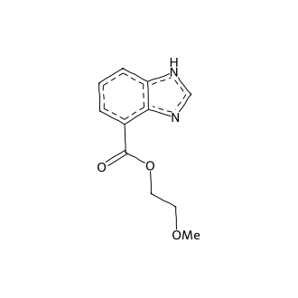 COCCOC(=O)c1cccc2[nH]cnc12